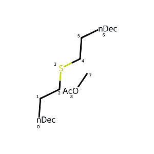 CCCCCCCCCCCCSCCCCCCCCCCCC.COC(C)=O